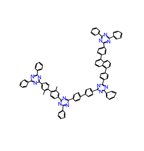 Cc1cc(-c2nc(-c3ccccc3)nc(-c3ccccc3)n2)ccc1-c1ccc(-c2nc(-c3ccccc3)nc(-c3ccc(-c4ccc(-c5nc(-c6ccccc6)nc(-c6ccc(-c7cccc8c(-c9ccc(-c%10nc(-c%11ccccc%11)nc(-c%11ccccc%11)n%10)cc9)cccc78)cc6)n5)cc4)cc3)n2)cc1C